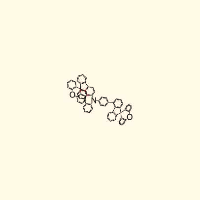 c1ccc(-c2ccccc2N(c2ccc(-c3cccc4c3-c3ccccc3C43c4ccccc4Oc4ccccc43)cc2)c2ccc3c(c2)C2(c4ccccc4Oc4ccccc42)c2ccccc2-3)cc1